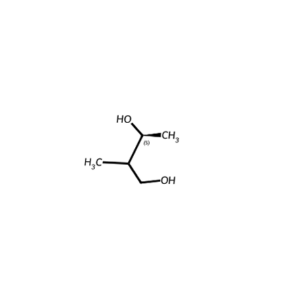 CC(CO)[C@H](C)O